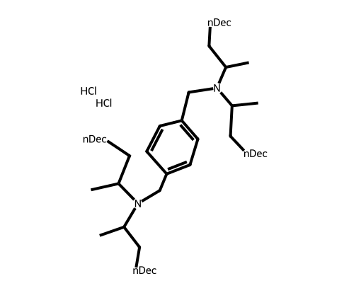 CCCCCCCCCCCC(C)N(Cc1ccc(CN(C(C)CCCCCCCCCCC)C(C)CCCCCCCCCCC)cc1)C(C)CCCCCCCCCCC.Cl.Cl